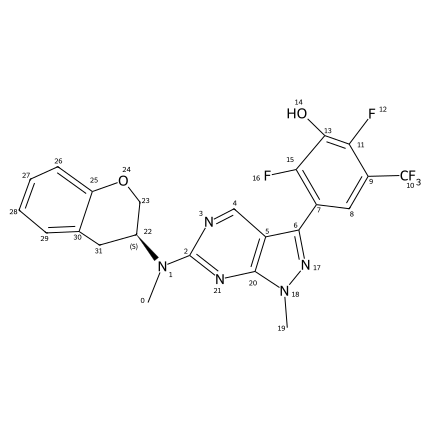 CN(c1ncc2c(-c3cc(C(F)(F)F)c(F)c(O)c3F)nn(C)c2n1)[C@@H]1COc2ccccc2C1